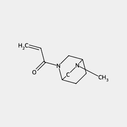 C=CC(=O)N1CC2CCC1CN2C